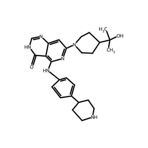 CC(C)(O)C1CCN(c2cc3nc[nH]c(=O)c3c(Nc3ccc(C4CCNCC4)cc3)n2)CC1